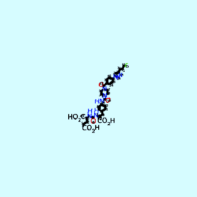 O=C(O)CC[C@H](NC(=O)N[C@@H](Cc1ccc(NC(=O)N2CCN(C(=O)c3ccc(-n4cc(CCCF)nn4)cc3)CC2)cc1)C(=O)O)C(=O)O